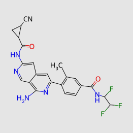 Cc1cc(C(=O)NC(F)C(F)F)ccc1-c1cc2cc(NC(=O)C3CC3C#N)ncc2c(N)n1